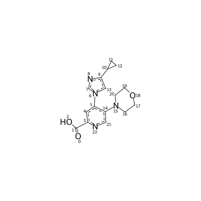 O=C(O)c1cc(-n2cnc(C3CC3)c2)c(N2CCOCC2)cn1